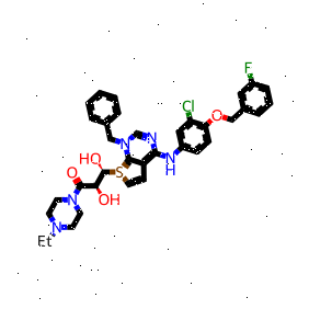 CCN1CCN(C(=O)[C@H](O)[C@H](O)S2=C3C(=C(Nc4ccc(OCc5cccc(F)c5)c(Cl)c4)N=CN3Cc3ccccc3)C=C2)CC1